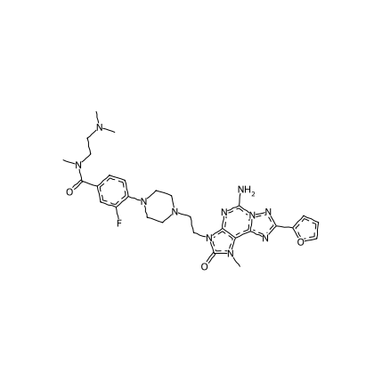 CN(C)CCN(C)C(=O)c1ccc(N2CCN(CCn3c(=O)n(C)c4c3nc(N)n3nc(-c5ccco5)nc43)CC2)c(F)c1